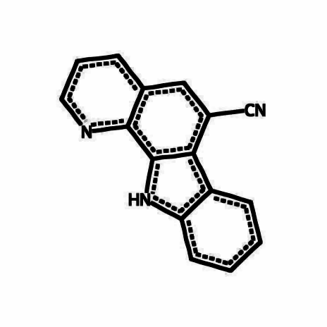 N#Cc1cc2cccnc2c2[nH]c3ccccc3c12